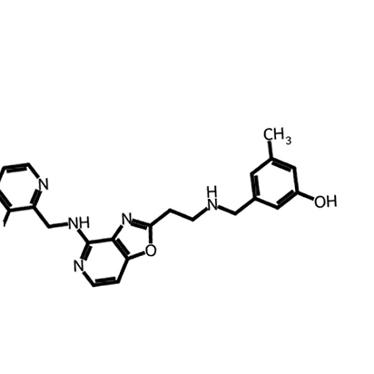 Cc1cc(O)cc(CNCCc2nc3c(NCc4ncccc4F)nccc3o2)c1